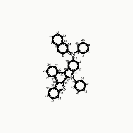 c1ccc(N(c2ccc3ccccc3c2)c2ccc3c(c2)c2c4ccccc4c4c5ccccc5sc4c2n3-c2ccccc2)cc1